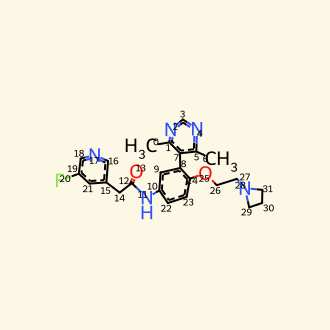 Cc1ncnc(C)c1-c1cc(NC(=O)Cc2cncc(F)c2)ccc1OCCN1CCC1